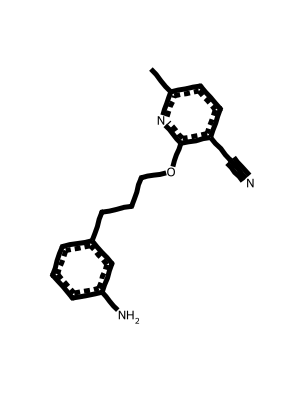 Cc1ccc(C#N)c(OCCCc2cccc(N)c2)n1